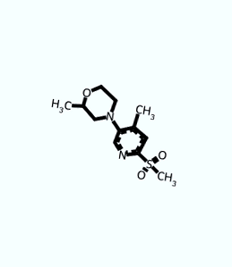 Cc1cc(S(C)(=O)=O)ncc1N1CCOC(C)C1